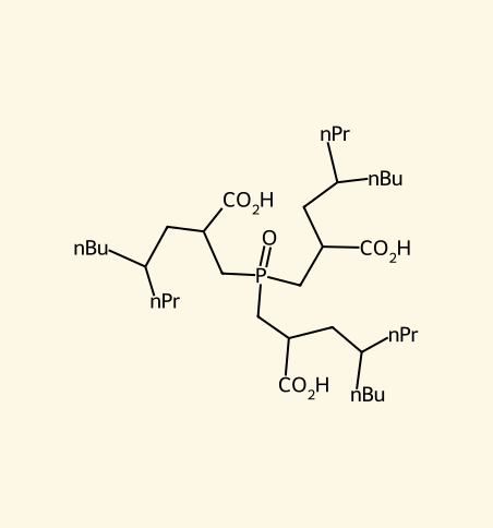 CCCCC(CCC)CC(CP(=O)(CC(CC(CCC)CCCC)C(=O)O)CC(CC(CCC)CCCC)C(=O)O)C(=O)O